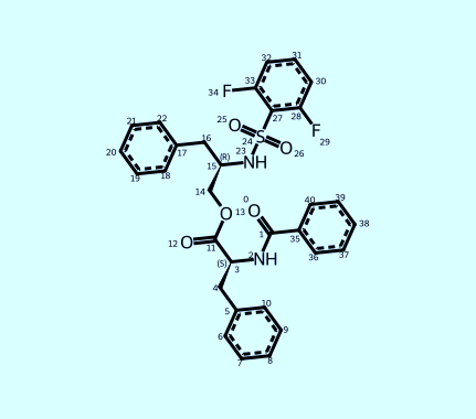 O=C(N[C@@H](Cc1ccccc1)C(=O)OC[C@@H](Cc1ccccc1)NS(=O)(=O)c1c(F)cccc1F)c1ccccc1